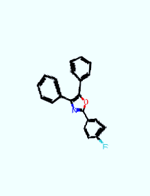 Fc1ccc(-c2nc(-c3ccccc3)c(-c3ccccc3)o2)cc1